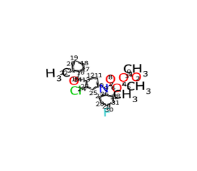 CC(=O)OC(C)OC(=O)N(c1ccc(C(=O)c2ccccc2C)c(Cl)c1)c1ccc(F)cc1C